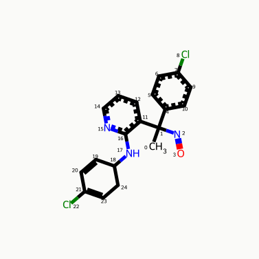 CC(N=O)(c1ccc(Cl)cc1)c1cccnc1NC1C=CC(Cl)=CC1